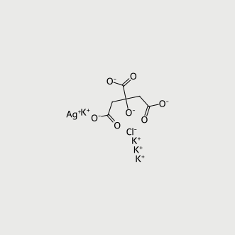 O=C([O-])CC([O-])(CC(=O)[O-])C(=O)[O-].[Ag+].[Cl-].[K+].[K+].[K+].[K+]